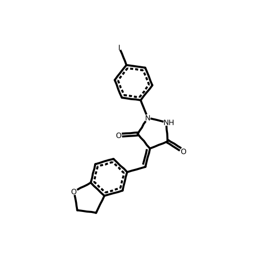 O=C1NN(c2ccc(I)cc2)C(=O)/C1=C\c1ccc2c(c1)CCO2